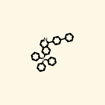 c1ccc(-c2ccc(-c3nccc4cc(S(c5ccccc5)(c5ccccc5)c5ccccc5)ccc34)cc2)cc1